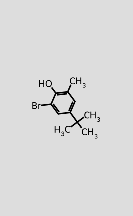 Cc1cc(C(C)(C)C)cc(Br)c1O